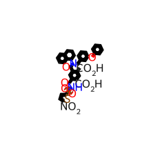 O=C(O)c1cc(C(=O)O)c(C(=O)N(Cc2cccc(Oc3ccccc3)c2)[C@H]2CCCc3ccccc32)cc1C(=O)NS(=O)(=O)c1ccc([N+](=O)[O-])s1